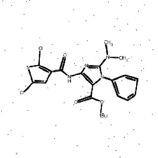 CN(C)c1nc(NC(=O)c2cc(Cl)sc2Cl)c(C(=O)OC(C)(C)C)n1-c1ccccc1